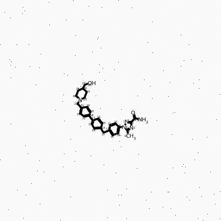 Cc1nc(C(N)=O)nn1-c1ccc(Cc2ccc(-c3ccc(CN4CCC(CO)CC4)cc3)cc2)cc1